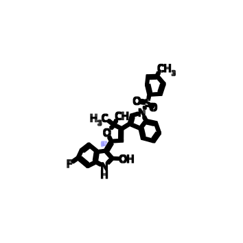 Cc1ccc(S(=O)(=O)n2cc(C3=C/C(=C4/c5ccc(F)cc5NC4O)OC3(C)C)c3ccccc32)cc1